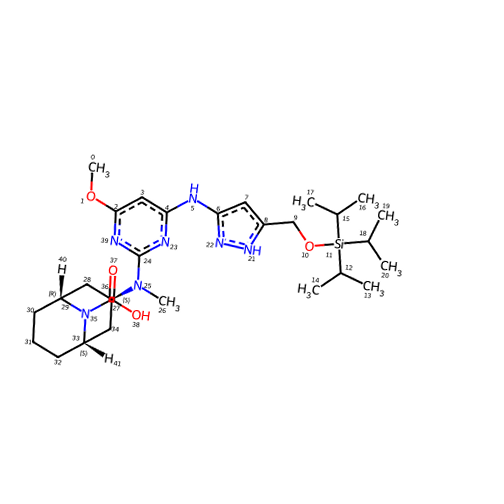 COc1cc(Nc2cc(CO[Si](C(C)C)(C(C)C)C(C)C)[nH]n2)nc(N(C)[C@@H]2C[C@H]3CCC[C@@H](C2)N3C(=O)O)n1